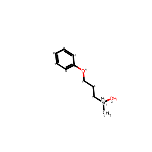 C[SiH](O)CCCOc1ccccc1